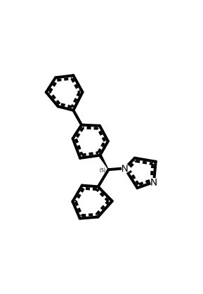 c1ccc(-c2ccc([C@H](c3ccccc3)n3ccnc3)cc2)cc1